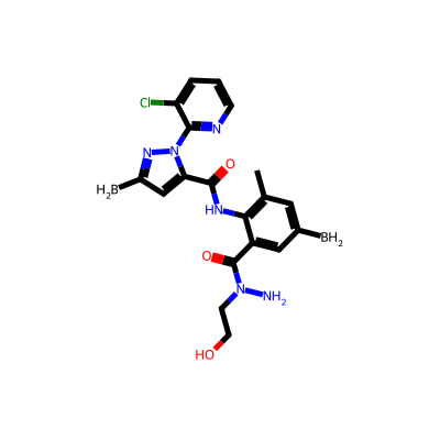 Bc1cc(C)c(NC(=O)c2cc(B)nn2-c2ncccc2Cl)c(C(=O)N(N)CCO)c1